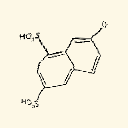 [O]c1ccc2cc(S(=O)(=O)O)cc(S(=O)(=O)O)c2c1